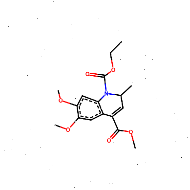 CCOC(=O)N1c2cc(OC)c(OC)cc2C(C(=O)OC)=CC1C